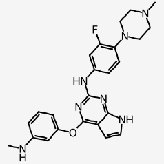 CNc1cccc(Oc2nc(Nc3ccc(N4CCN(C)CC4)c(F)c3)nc3[nH]ccc23)c1